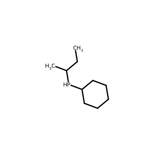 CCC(C)PC1CCCCC1